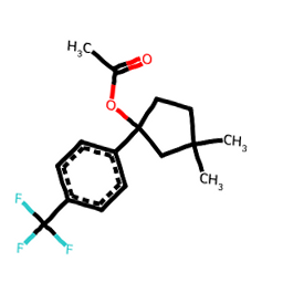 CC(=O)OC1(c2ccc(C(F)(F)F)cc2)CCC(C)(C)C1